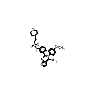 COc1ccc(N2C(N)=c3ccoc3=NC2c2cccc(NS(=O)(=O)CCN3CCOCC3)c2)cc1